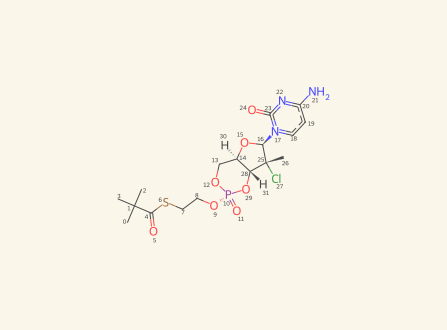 CC(C)(C)C(=O)SCCO[P@]1(=O)OC[C@H]2O[C@@H](n3ccc(N)nc3=O)[C@](C)(Cl)[C@@H]2O1